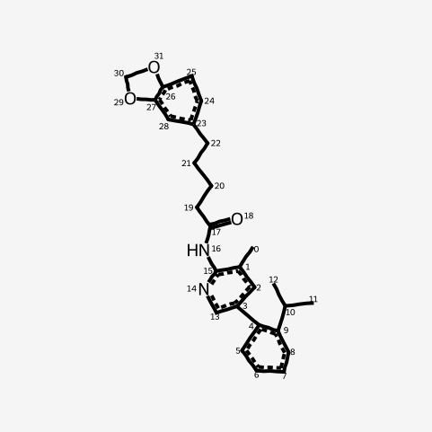 Cc1cc(-c2ccccc2C(C)C)cnc1NC(=O)CCCCc1ccc2c(c1)OCO2